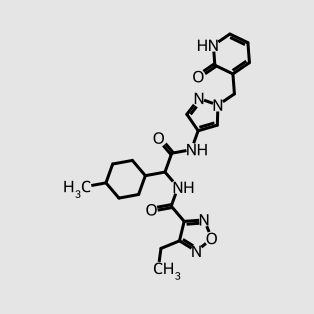 CCc1nonc1C(=O)NC(C(=O)Nc1cnn(Cc2ccc[nH]c2=O)c1)C1CCC(C)CC1